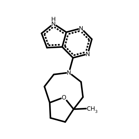 CC12CCC(CCN(c3ncnc4[nH]ccc34)CC1)O2